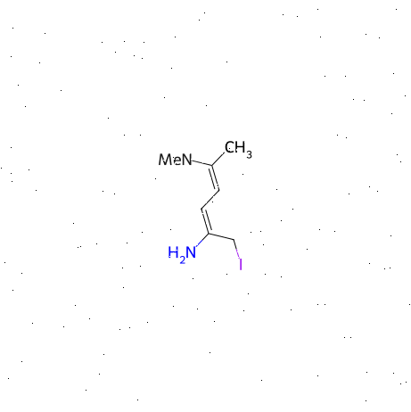 CN/C(C)=C\C=C(\N)CI